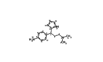 CN(C)CCC(c1ccc(N)cc1)c1ncc[nH]1